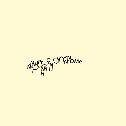 COc1ncc(CN2CCC(NC(=O)c3n[nH]c(-c4cc(C)c5ncnn5c4)c3C(C)C)CC2)cn1